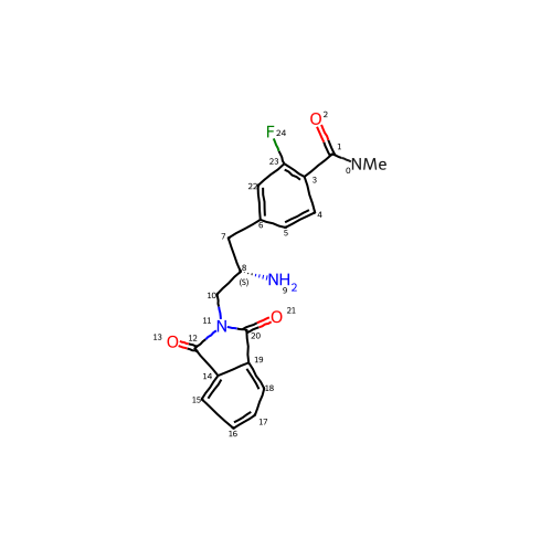 CNC(=O)c1ccc(C[C@H](N)CN2C(=O)c3ccccc3C2=O)cc1F